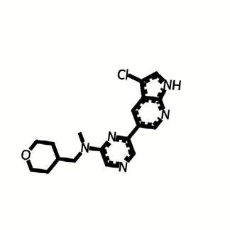 CN(CC1CCOCC1)c1cncc(-c2cnc3[nH]cc(Cl)c3c2)n1